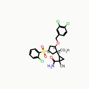 N#CC1(C(N)=O)CC1[C@]1(C(=O)O)C[C@@H](S(=O)(=O)c2ccccc2Cl)C[C@H]1OCc1ccc(Cl)c(Cl)c1